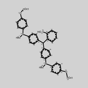 CCCCCCCCOc1ccc(N(CCCC)c2ccc(C(c3ccc(N(CCCC)c4ccc(OCCCCCCCC)cc4)cc3)c3ccccc3S(=O)(=O)O)cc2)cc1